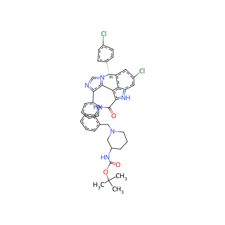 CC(C)(C)OC(=O)NC1CCCN(Cc2ccccc2NC(=O)c2[nH]c3cc(Cl)cc4c3c2-c2c(-c3ccccc3)ncn2[C@@H]4c2ccc(Cl)cc2)C1